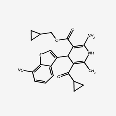 CC1=C(C(=O)C2CC2)C(c2csc3c(C#N)cccc23)C(C(=O)OCC2CC2)=C(N)N1